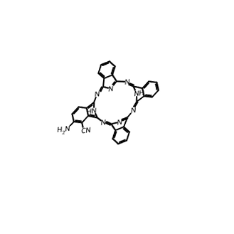 N#Cc1c(N)ccc2c3nc4nc(nc5[nH]c(nc6nc(nc([nH]3)c12)-c1ccccc1-6)c1ccccc51)-c1ccccc1-4